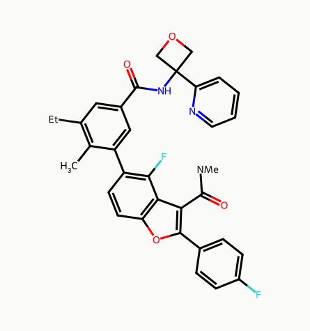 CCc1cc(C(=O)NC2(c3ccccn3)COC2)cc(-c2ccc3oc(-c4ccc(F)cc4)c(C(=O)NC)c3c2F)c1C